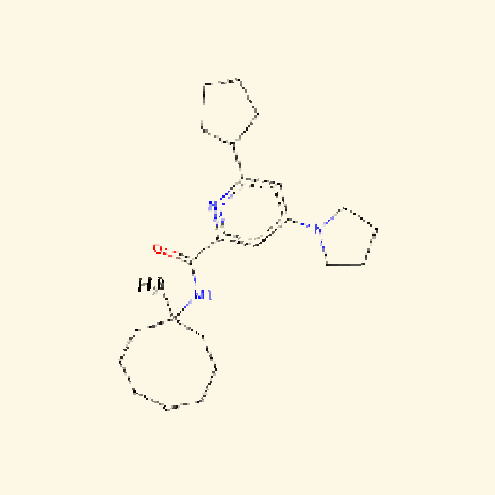 BC1(NC(=O)c2cc(N3CCCC3)cc(C3CCCC3)n2)CCCCCCC1